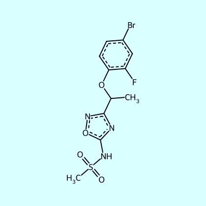 CC(Oc1ccc(Br)cc1F)c1noc(NS(C)(=O)=O)n1